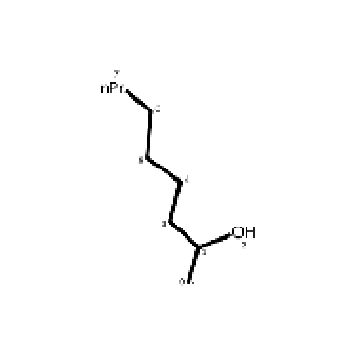 [CH2]C(O)CCCCCCC